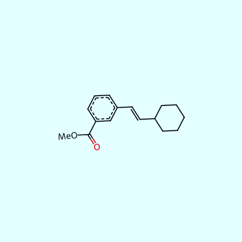 COC(=O)c1cccc(/C=C/C2CCCCC2)c1